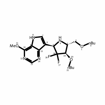 CCCCOC[C@H]1N[C@H](c2c[nH]c3c(OC)ncnc23)C(F)(F)[C@@H]1OCCCC